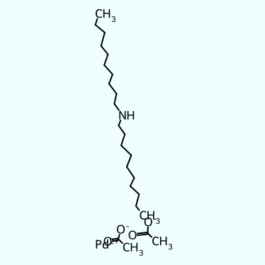 CC(=O)[O-].CC(=O)[O-].CCCCCCCCCCNCCCCCCCCCC.[Pd+2]